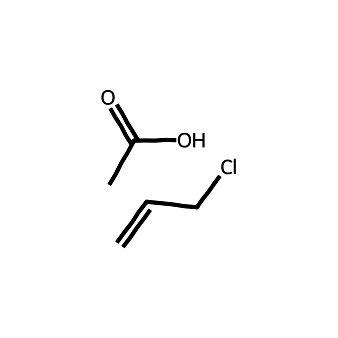 C=CCCl.CC(=O)O